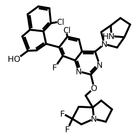 Oc1cc(-c2c(Cl)cc3c(N4CC5CCC(C4)N5)nc(OCC45CCCN4CC(F)(F)C5)nc3c2F)c2c(Cl)cccc2c1